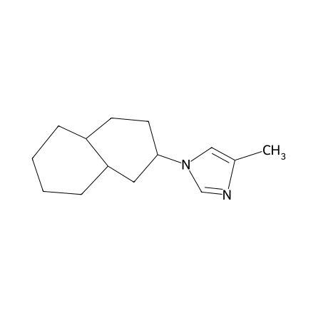 Cc1cn(C2CCC3CCCCC3C2)cn1